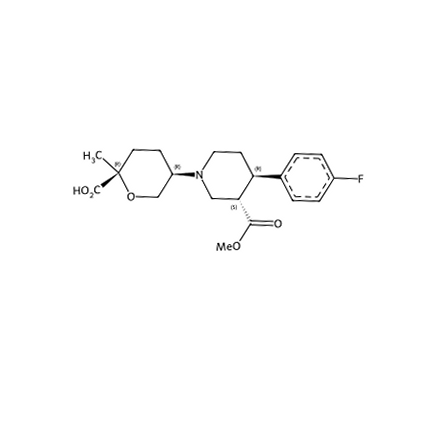 COC(=O)[C@@H]1CN([C@@H]2CC[C@](C)(C(=O)O)OC2)CC[C@H]1c1ccc(F)cc1